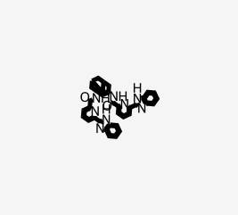 O=C(NC12CC3CC(C1)CC(NC(=O)c1cccc(-c4nc5ccccc5[nH]4)n1)(C3)C2)c1cccc(-c2nc3ccccc3[nH]2)n1